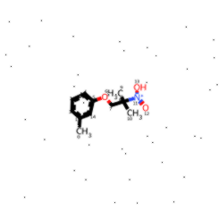 Cc1cccc(OCC(C)(C)[N+](=O)O)c1